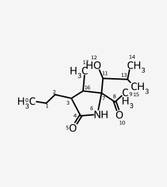 CCCC1C(=O)NC(C(C)=O)(C(O)C(C)C)C1C